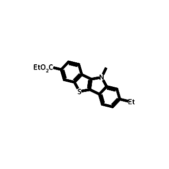 CCOC(=O)c1ccc2c(c1)sc1c3ccc(CC)cc3n(C)c21